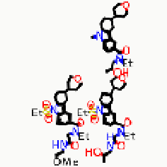 CCN(CC(=O)NCC(C)O)C(=O)c1ccc2c(c1)c1c(n2S(=O)(=O)CC)CCC(C2CCOCC2)C1.CCN(CC(=O)NCCOC)C(=O)c1ccc2c(c1)c1c(n2S(=O)(=O)CC)CCC(C2CCOCC2)C1.CCN(CC(C)O)C(=O)c1ccc2c(c1)c1c(n2C)CCC(C2CCOCC2)C1